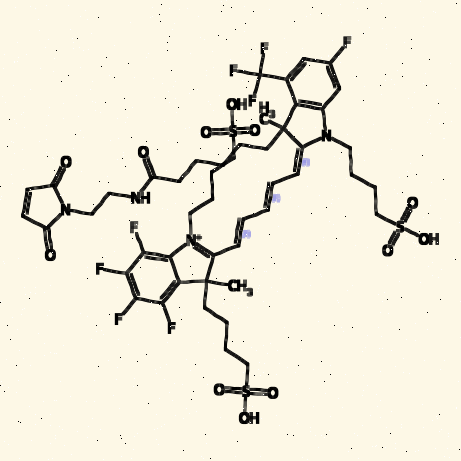 CC1(CCCCS(=O)(=O)O)C(/C=C/C=C/C=C2/N(CCCCS(=O)(=O)O)c3cc(F)cc(C(F)(F)F)c3C2(C)CCCCCC(=O)NCCN2C(=O)C=CC2=O)=[N+](CCCCS(=O)(=O)O)c2c(F)c(F)c(F)c(F)c21